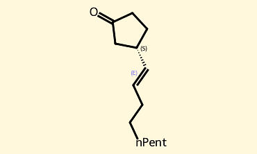 CCCCCCC/C=C/[C@H]1CCC(=O)C1